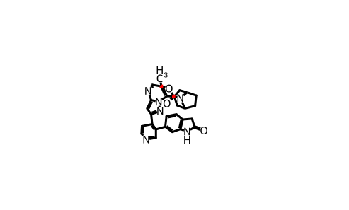 CCOC(=O)N1C2CCC1CC(c1ccnc3cc(-c4ccncc4-c4ccc5c(c4)NC(=O)C5)nn13)C2